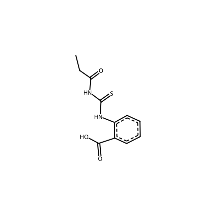 CCC(=O)NC(=S)Nc1ccccc1C(=O)O